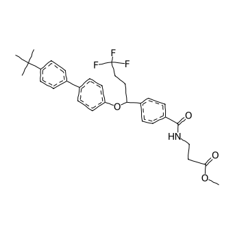 COC(=O)CCNC(=O)c1ccc(C(CCC(F)(F)F)Oc2ccc(-c3ccc(C(C)(C)C)cc3)cc2)cc1